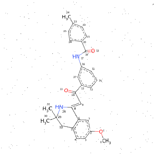 COc1ccc2c(c1)C(=CC(=O)c1cccc(NC(=O)c3ccc(C)cc3)c1)NC(C)(C)C2